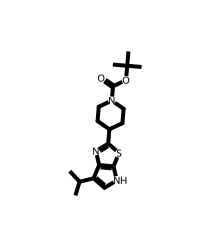 CC(C)c1c[nH]c2sc(C3CCN(C(=O)OC(C)(C)C)CC3)nc12